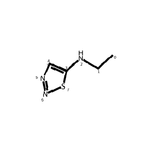 CCNc1[c]nns1